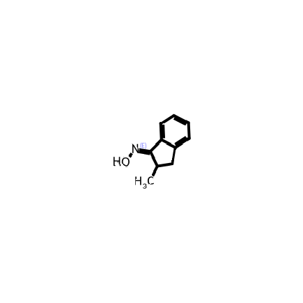 CC1Cc2ccccc2/C1=N/O